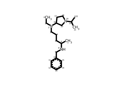 CCN(CCCC(C)NCc1ccccc1)C1CCN(C(C)I)C1